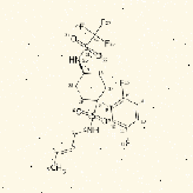 C/C=C/CNS(=O)(=O)[C@]1(c2cc(F)ccc2F)CC[C@H](NS(=O)(=O)C(F)(F)F)CC1